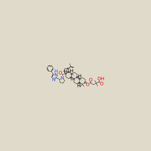 C=C(C)[C@@H]1CC[C@]2(C(=O)N3CCCC3c3ncc(-c4ccccc4)[nH]3)CC[C@]3(C)[C@H](CC[C@@H]4[C@@]5(C)CC[C@H](OC(=O)CC(C)(C)C(=O)O)C(C)(C)[C@@H]5CC[C@]43C)[C@@H]12